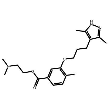 Cc1n[nH]c(C)c1CCCOc1cc(C(=O)OCCN(C)C)ccc1F